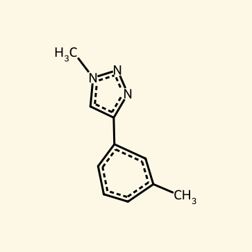 Cc1cccc(-c2cn(C)nn2)c1